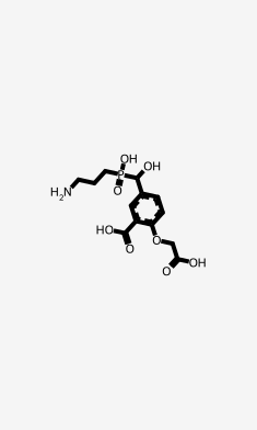 NCCCP(=O)(O)C(O)c1ccc(OCC(=O)O)c(C(=O)O)c1